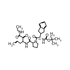 C=CCC(NC(=O)C1CCCN1C(=O)[C@@H](NC(=O)OC(C)(C)C)C1Cc2ccccc2C1)C(=O)C(=O)NCC